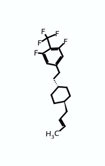 C/C=C/C[C@H]1CC[C@H](CCc2cc(F)c(C(F)(F)F)c(F)c2)CC1